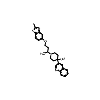 Cc1nc2cc(OCCC(O)N3CCC(O)(c4cnc5ccccc5c4)CC3)ccc2s1